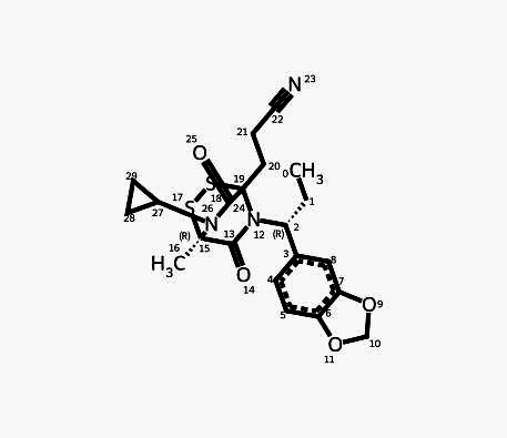 CC[C@H](c1ccc2c(c1)OCO2)N1C(=O)[C@@]2(C)SSC1(CCC#N)C(=O)N2C1CC1